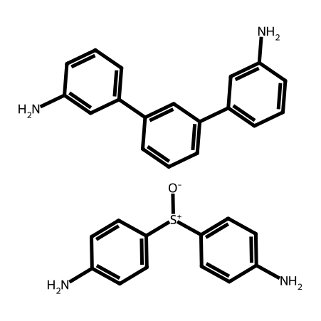 Nc1ccc([S+]([O-])c2ccc(N)cc2)cc1.Nc1cccc(-c2cccc(-c3cccc(N)c3)c2)c1